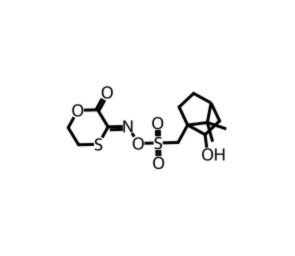 CC1(C)C2CCC1(CS(=O)(=O)O/N=C1\SCCOC1=O)C(O)C2